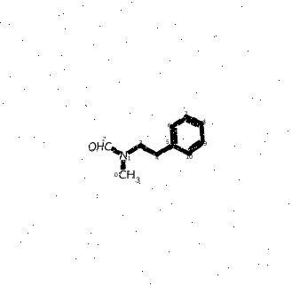 CN(C=O)CCc1cc[c]cc1